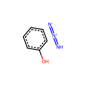 Oc1ccccc1.[N-]=[N+]=N